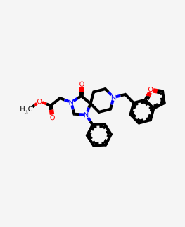 COC(=O)CN1CN(c2ccccc2)C2(CCN(Cc3cccc4ccoc34)CC2)C1=O